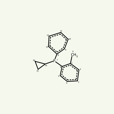 Cc1ccccc1P(c1ccccc1)C1CC1